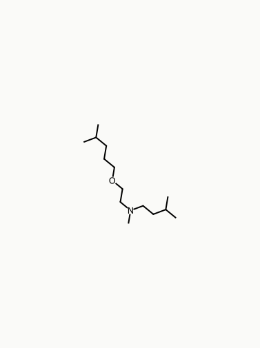 CC(C)CCCOCCN(C)CCC(C)C